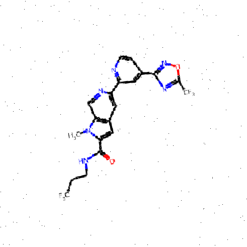 Cn1c(C(=O)NCCC(F)(F)F)cc2cc(-c3cc(-c4noc(C(F)(F)F)n4)ccn3)ncc21